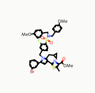 COC(=O)c1nc(-c2cc(-c3cccc(Br)c3)n(Cc3ccc(S(=O)(=O)N(Cc4ccc(OC)cc4)Cc4ccc(OC)cc4)c(F)c3)c2CC2CC2)sc1C